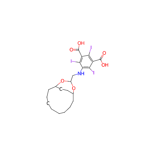 O=C(O)c1c(I)c(NCC2OC3CCCCCCCCC(CC3)O2)c(I)c(C(=O)O)c1I